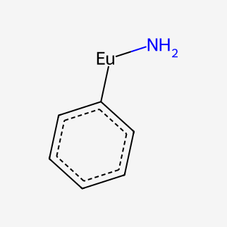 [NH2][Eu][c]1ccccc1